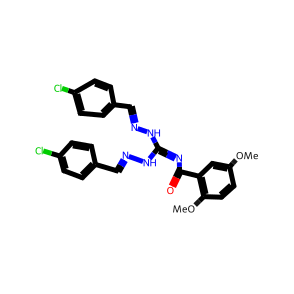 COc1ccc(OC)c(C(=O)N=C(NN=Cc2ccc(Cl)cc2)NN=Cc2ccc(Cl)cc2)c1